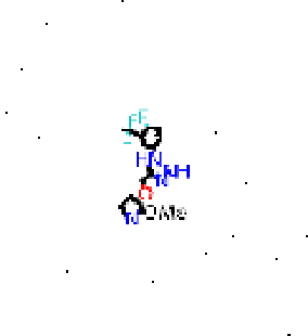 COc1ncccc1OC/C(=C/Nc1ccc(F)c(C(C)(F)F)c1)N=N